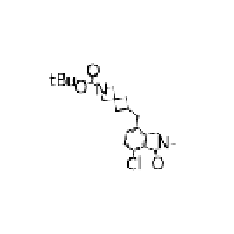 CN1Cc2c(CC3CC4(C3)CN(C(=O)OC(C)(C)C)C4)ccc(Cl)c2C1=O